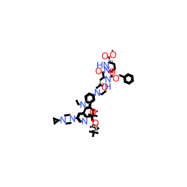 CCn1c(-c2cc(N3CCN(C4CC4)CC3)cnc2C(C)OC)c(CC(C)(C)CO[Si](C)(C)C(C)(C)C)c2cc(N3CCO[C@@H](CC(NC(=O)OCc4ccccc4)C(=O)N4CCC[C@@H](C(=O)OC)N4)C3)ccc21